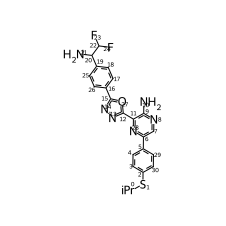 CC(C)Sc1ccc(-c2cnc(N)c(-c3nnc(-c4ccc(C(N)C(F)F)cc4)o3)n2)cc1